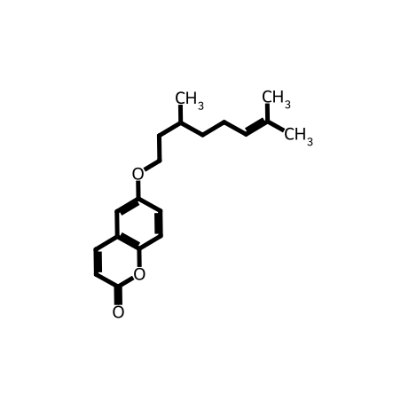 CC(C)=CCCC(C)CCOc1ccc2oc(=O)ccc2c1